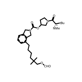 CN[C@H](C(=O)N1CCC(OC(=O)N2Cc3cccc(CCCCC(C)(C)COC=O)c3C2)C1)C(C)(C)C